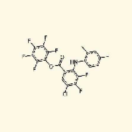 Cc1cc(I)ccc1Nc1c(C(=O)Oc2c(F)c(F)c(F)c(F)c2F)cc(Cl)c(F)c1F